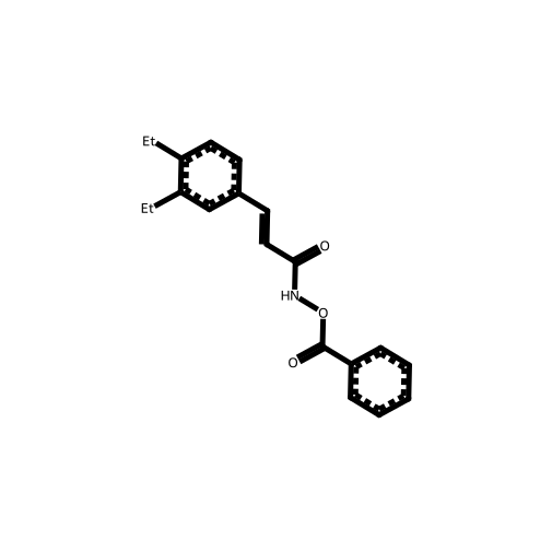 CCc1ccc(C=CC(=O)NOC(=O)c2ccccc2)cc1CC